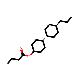 CCCC(=O)OC1CCC([C@H]2CC[C@H](CCC)CC2)CC1